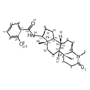 CN1C(=O)CC[C@@]2(C)C1=CC[C@@H]1[C@H]2CC[C@]2(C)C(NC(=O)c3ccccc3C(F)(F)F)CC[C@@H]12